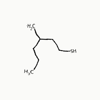 [CH2]C(CCC)CCS